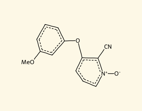 COc1cccc(Oc2ccc[n+]([O-])c2C#N)c1